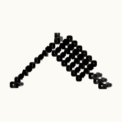 O.[Ca+2].[Ca+2].[Ca+2].[Ca+2].[O]=[Al][O-].[O]=[Al][O-].[O]=[Al][O-].[O]=[Al][O-].[O]=[Al][O-].[O]=[Al][O-].[O]=[Al][O-].[O]=[Al][O-]